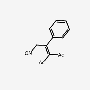 CC(=O)C(C(C)=O)=C(CN=O)c1ccccc1